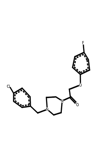 O=C(COc1ccc(F)cc1)N1CCN(Cc2ccc(Cl)cc2)CC1